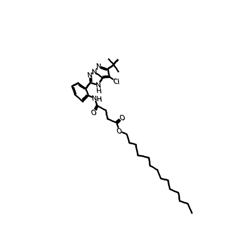 CCCCCCCCCCCCCCOC(=O)CCC(=O)Nc1ccccc1-c1nn2nc(C(C)(C)C)c(Cl)c2[nH]1